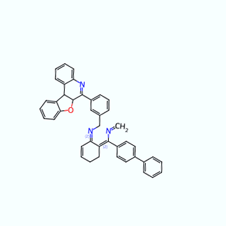 C=N/C(=C1/CCC=C/C1=N/Cc1cccc(C2=Nc3ccccc3C3c4ccccc4OC23)c1)c1ccc(-c2ccccc2)cc1